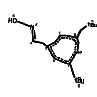 CC(C)(C)c1cc(C=NO)cc(C(C)(C)C)c1